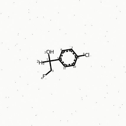 [2H]C(O)(CF)c1ccc(Cl)cc1